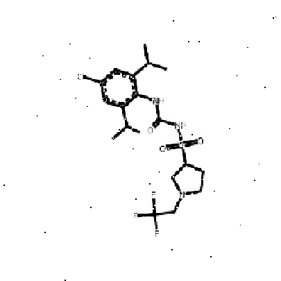 CC(C)c1cc(Cl)cc(C(C)C)c1NC(=O)NS(=O)(=O)C1CCN(CC(F)(F)F)C1